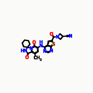 Cc1cc(Nc2ncnc3sc(C(=O)N4CC(C#N)C4)cc23)c(=O)n2c1C(=O)NC21CCCCC1